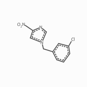 O=[N+]([O-])c1cn(Cc2cccc(Cl)c2)cn1